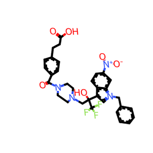 O=C(O)CCc1ccc(C(=O)N2CCN(CC(O)(c3cn(Cc4ccccc4)c4cc([N+](=O)[O-])ccc34)C(F)(F)F)CC2)cc1